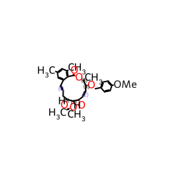 COc1ccc(CO[C@@H]2/C=C\C(=O)[C@H]3OC(C)(C)O[C@H]3C/C=C/c3cc(C)cc(C)c3C(=O)O[C@H]2C)cc1